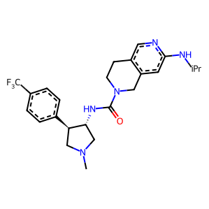 CC(C)Nc1cc2c(cn1)CCN(C(=O)N[C@@H]1CN(C)C[C@H]1c1ccc(C(F)(F)F)cc1)C2